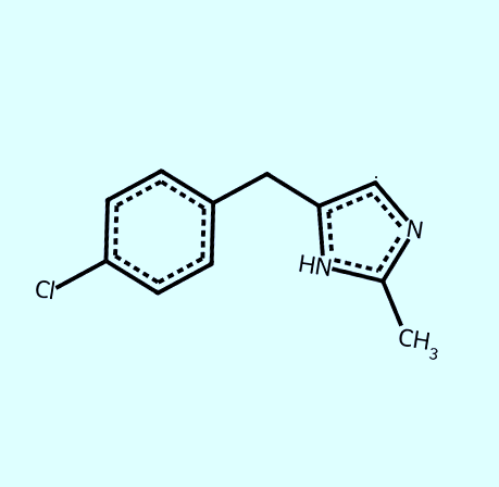 Cc1n[c]c(Cc2ccc(Cl)cc2)[nH]1